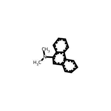 CN(C)c1cc2ccccc2c2ccccc12